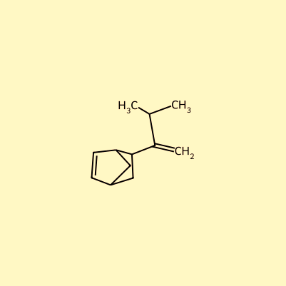 C=C(C(C)C)C1CC2C=CC1C2